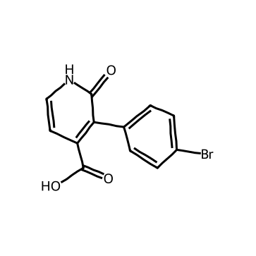 O=C(O)c1cc[nH]c(=O)c1-c1ccc(Br)cc1